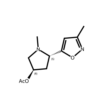 CC(=O)O[C@@H]1C[C@@H](c2cc(C)no2)N(C)C1